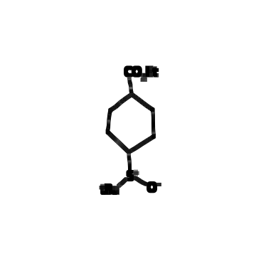 CCOC(=O)C1CCC([S+]([O-])C(C)(C)C)CC1